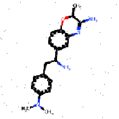 CC1Oc2ccc(C(N)Cc3ccc(N(C)C)cc3)cc2N=C1N